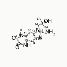 Cn1c(=O)c(=O)[nH]c2cc3nc(N)n(CC(C)(C)O)c3cc21